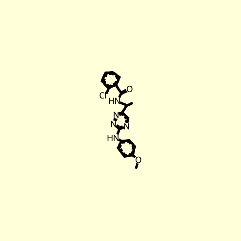 COc1ccc(Nc2ncc(C(C)NC(=O)c3ccccc3Cl)nn2)cc1